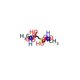 Cc1cn(C2CC(O)C(SCCCC3C[C@H](n4cc(C)c(=O)[nH]c4=O)O[C@@H]3CO)O2)c(=O)[nH]c1=O